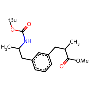 COC(=O)C(C)Cc1cccc(CC(C)NC(=O)OC(C)(C)C)c1